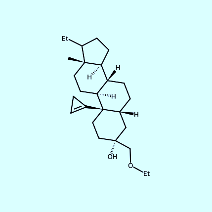 CCOC[C@@]1(O)CC[C@@]2(C3=CC3)[C@H](CC[C@@H]3[C@@H]2CC[C@]2(C)C(CC)CC[C@@H]32)C1